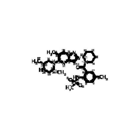 Cc1ccc(NS(C)(=O)=O)c(C(=O)N2CCCC[C@H]2c2cc3nc(N4C[C@H](C)NC[C@H]4C)c(C)cn3n2)c1